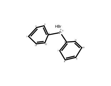 Br.c1ccc([P]c2ccccc2)cc1